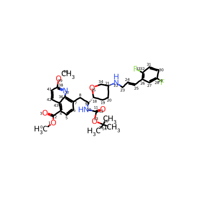 COC(=O)c1ccc(CC(NC(=O)OC(C)(C)C)[C@H]2CC[C@H](NCC=Cc3cc(F)ccc3F)CO2)c2nc(OC)ccc12